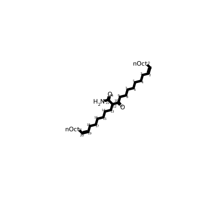 CCCCCCCC/C=C\CCCCCCCC(=O)C(CCCCCC/C=C\CCCCCCCC)C(N)=O